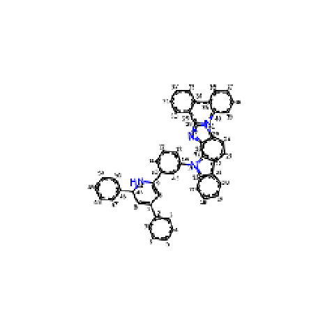 C1=C(c2ccccc2)C=C(c2cccc(-n3c4ccccc4c4ccc5c(nc6c7ccccc7c7ccccc7n56)c43)c2)NC1c1ccccc1